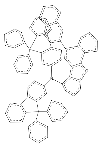 c1ccc(C2(c3ccccc3)c3ccccc3-c3ccc(N(c4ccc5c(c4)C(c4ccccc4)(c4ccccc4)c4ccccc4-5)c4cccc5oc6c7ccccc7c(-c7ccc8ccccc8c7)cc6c45)cc32)cc1